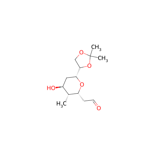 C[C@@H]1[C@@H](O)C[C@H](C2COC(C)(C)O2)O[C@@H]1CC=O